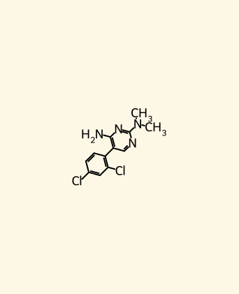 CN(C)c1ncc(-c2ccc(Cl)cc2Cl)c(N)n1